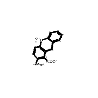 CCCCCCCc1ccc2c(c1C(=O)[O-])Cc1ccccc1O2.[K+]